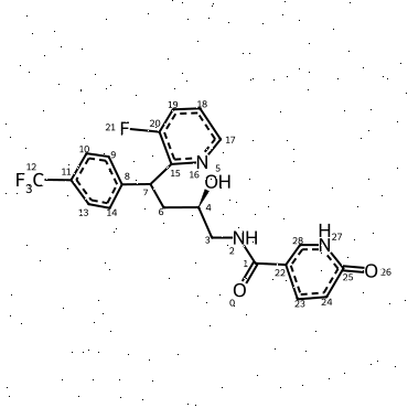 O=C(NC[C@H](O)CC(c1ccc(C(F)(F)F)cc1)c1ncccc1F)c1ccc(=O)[nH]c1